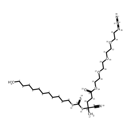 CCCCCCCCCCCCSC(=S)SC(C)(C#N)CCC(=O)OCCOCCOCCOCCN=[N+]=[N-]